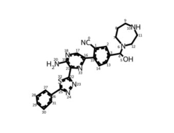 N#Cc1cc(C(O)N2CCCNCC2)ccc1-c1cnc(N)c(-c2nnc(-c3ccccc3)s2)n1